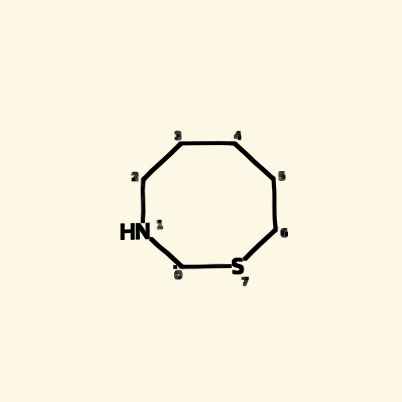 [CH]1NCCCCCS1